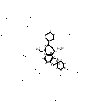 BrCC1OC(C2CCCCC2)CCc2c1ccc1c2OC2(CCCCC2)O1.Cl